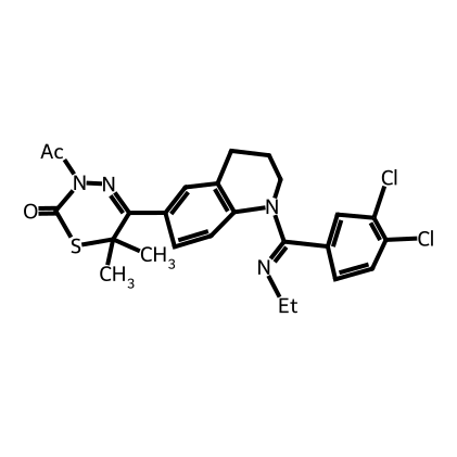 CCN=C(c1ccc(Cl)c(Cl)c1)N1CCCc2cc(C3=NN(C(C)=O)C(=O)SC3(C)C)ccc21